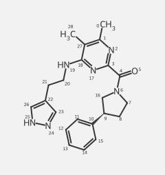 Cc1nc(C(=O)N2CC[C@@H](c3ccccc3)C2)nc(NCCc2cn[nH]c2)c1C